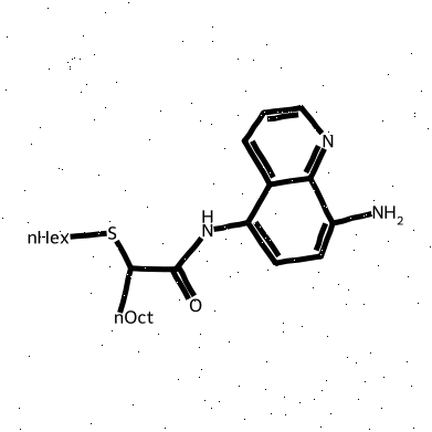 CCCCCCCCC(SCCCCCC)C(=O)Nc1ccc(N)c2ncccc12